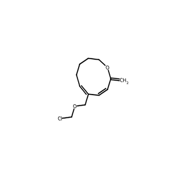 C=C1/C=C\C(COCCl)=C/CCCCO1